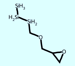 [SiH3][SiH2][SiH2]COCC1CO1